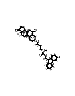 C[C@]12CC[C@H](OC(=O)CCNC(=O)OCC3c4ccccc4-c4ccccc43)CC1C(=O)C[C@@H]1[C@@H]2CC[C@]2(C)C(=O)CC[C@@H]12